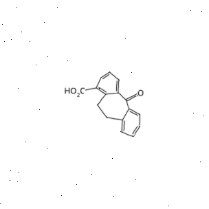 O=C(O)c1cccc2c1CCc1ccccc1C2=O